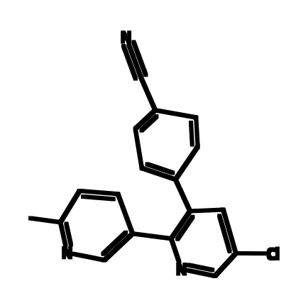 Cc1ccc(-c2ncc(Cl)cc2-c2ccc(C#N)cc2)cn1